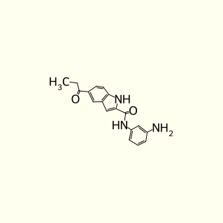 CCC(=O)c1ccc2[nH]c(C(=O)Nc3cccc(N)c3)cc2c1